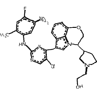 Cc1cc(F)c([N+](=O)[O-])cc1Nc1ncc(Cl)c(-c2cn3c4c(cccc24)OCC3C2CCN(CCO)C2)n1